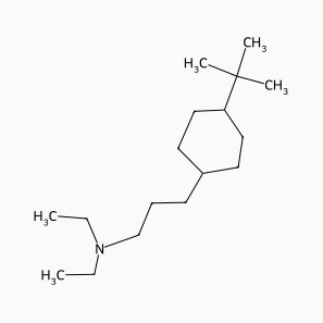 CCN(CC)CCCC1CCC(C(C)(C)C)CC1